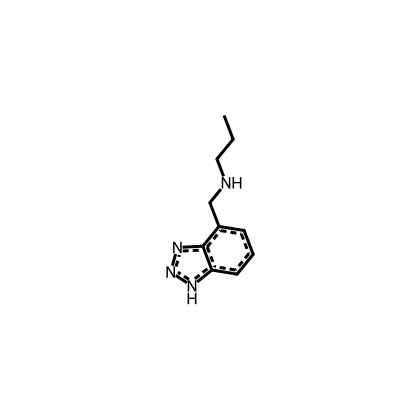 CCCNCc1cccc2[nH]nnc12